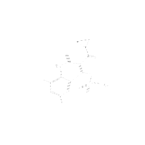 COS(=O)(=O)Oc1c(C(=O)C2CC2)c(=O)[nH]c2c(C(F)(F)F)cc(Cl)cc12